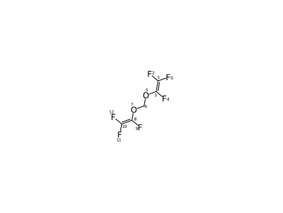 FC(F)=C(F)OCOC(F)=C(F)F